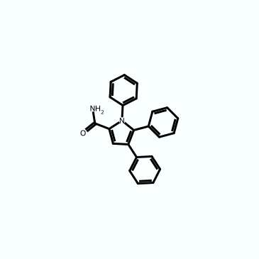 NC(=O)c1cc(-c2ccccc2)c(-c2ccccc2)n1-c1ccccc1